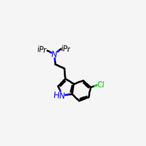 CC(C)N(CCc1c[nH]c2ccc(Cl)cc12)C(C)C